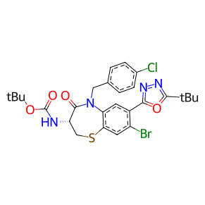 CC(C)(C)OC(=O)N[C@H]1CSc2cc(Br)c(-c3nnc(C(C)(C)C)o3)cc2N(Cc2ccc(Cl)cc2)C1=O